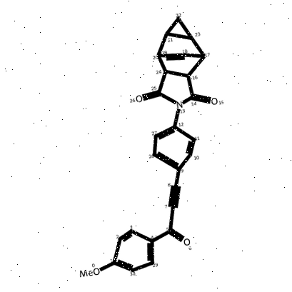 COc1ccc(C(=O)C#Cc2ccc(N3C(=O)C4C5C=CC(C6CC56)C4C3=O)cc2)cc1